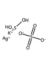 O=S(=O)(O)O.O=S(=O)([O-])[O-].[Ag+].[K+]